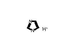 C1=CN=C[N]1.[H+]